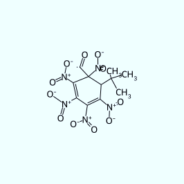 CC(C)(C)C1C([N+](=O)[O-])=C([N+](=O)[O-])C([N+](=O)[O-])=C([N+](=O)[O-])C1([C]=O)[N+](=O)[O-]